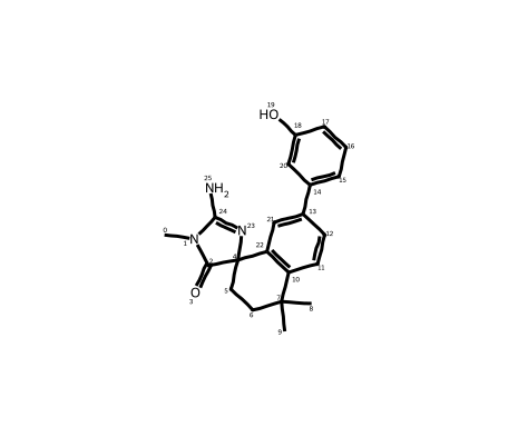 CN1C(=O)C2(CCC(C)(C)c3ccc(-c4cccc(O)c4)cc32)N=C1N